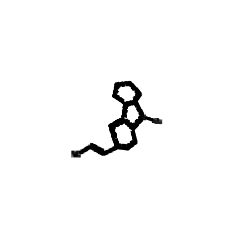 CCCCn1c2ccccc2c2cc(C=CC#N)ccc21